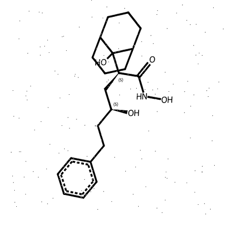 O=C(NO)[C@@H](C[C@@H](O)[CH]Cc1ccccc1)C1(O)C2CCCC1CCC2